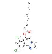 CCCCCCCCCC(=O)OC(Cn1ccnc1)c1ccc(Cl)cc1Cl